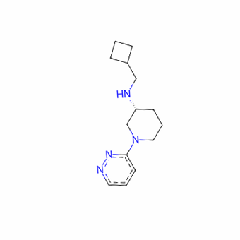 c1cnnc(N2CCC[C@@H](NCC3CCC3)C2)c1